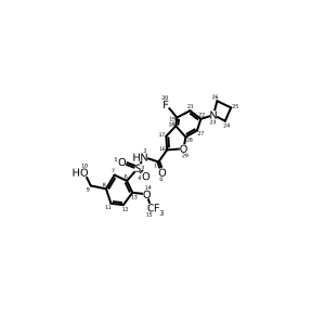 O=C(NS(=O)(=O)c1cc(CO)ccc1OC(F)(F)F)c1cc2c(F)cc(N3CCC3)cc2o1